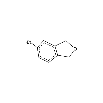 C[CH]c1ccc2c(c1)COC2